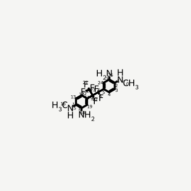 CNc1ccc(C(F)(F)C(F)(c2ccc(NC)c(N)c2)C(F)(F)F)cc1N